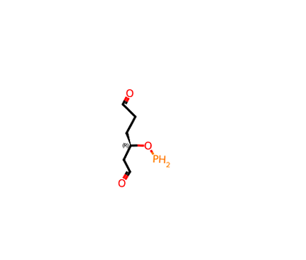 O=CCC[C@H](CC=O)OP